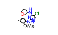 COc1c[c]ccc1Nc1ncc(Cl)c(NC2CCCOC2)n1